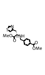 COC(=O)c1ccc(CN[C@@H](Cc2cscn2)C(=O)OC)cc1